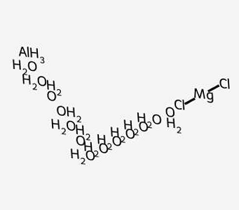 O.O.O.O.O.O.O.O.O.O.O.O.O.[AlH3].[Cl][Mg][Cl]